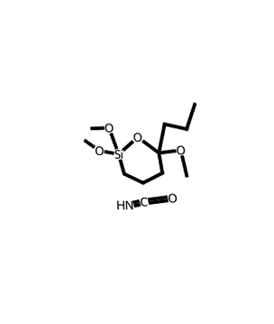 CCCC1(OC)CCC[Si](OC)(OC)O1.N=C=O